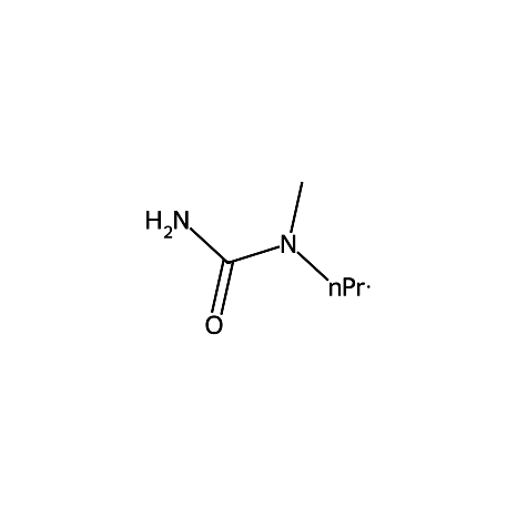 CC[CH]N(C)C(N)=O